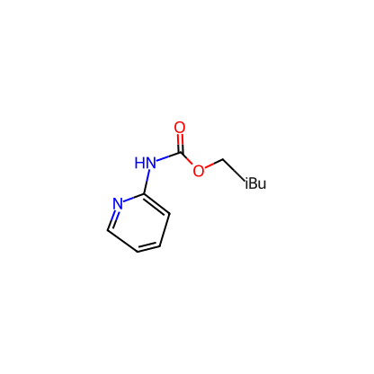 CCC(C)COC(=O)Nc1ccccn1